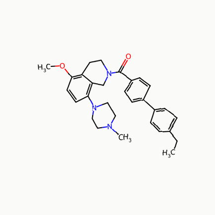 CCc1ccc(-c2ccc(C(=O)N3CCc4c(OC)ccc(N5CCN(C)CC5)c4C3)cc2)cc1